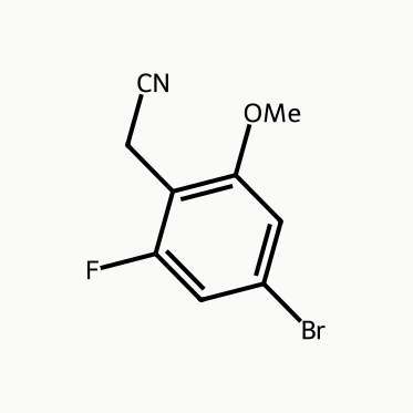 COc1cc(Br)cc(F)c1CC#N